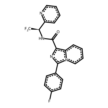 O=C(N[C@H](c1ccccn1)C(F)(F)F)c1nc(-c2ccc(F)cc2)n2ccccc12